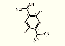 Cc1cc(C(C#N)C#N)c(C)cc1C(C#N)C#N